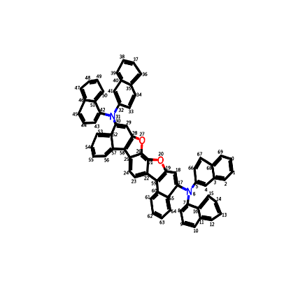 c1ccc2cc(N(c3cccc4ccccc34)c3cc4oc5c(ccc6c5oc5cc(N(c7ccc8ccccc8c7)c7cccc8ccccc78)c7ccccc7c56)c4c4ccccc34)ccc2c1